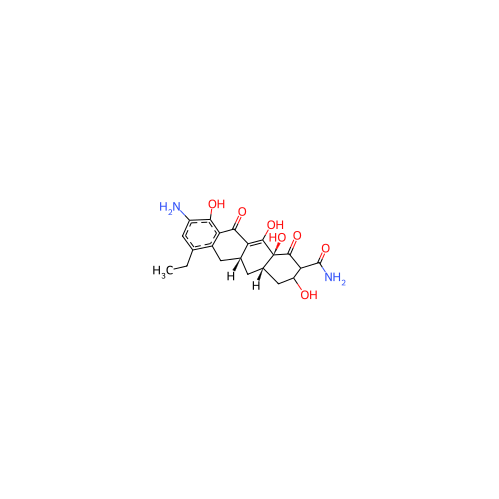 CCc1cc(N)c(O)c2c1C[C@H]1C[C@H]3CC(O)C(C(N)=O)C(=O)[C@@]3(O)C(O)=C1C2=O